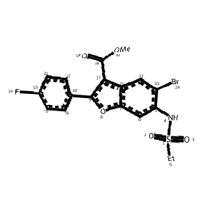 CCS(=O)(=O)Nc1cc2oc(-c3ccc(F)cc3)c(C(=O)OC)c2cc1Br